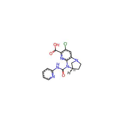 O=C(O)c1nc2c(cc1Cl)N1CC[C@@H](C1)N2C(=O)Nc1ccccn1